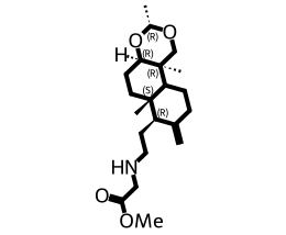 C=C1CCC2[C@]3(C)CO[C@@H](C)O[C@@H]3CC[C@@]2(C)[C@@H]1CCNCC(=O)OC